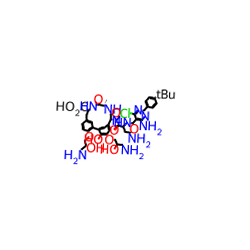 C[C@@H]1NC(=O)[C@@H](N(C)C(=O)C(CCN)NC(=O)c2c(N)nc(-c3ccc(C(C)(C)C)cc3)nc2Cl)c2cc(OCC(O)CN)c(O)c(c2)-c2cc(ccc2OCC(O)CN)C[C@@H](C(=O)O)NC1=O